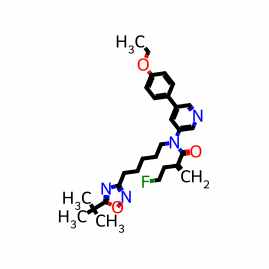 C=C(CCF)C(=O)N(CCCCCc1noc(C(C)(C)C)n1)c1cncc(-c2ccc(OCC)cc2)c1